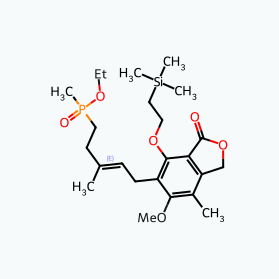 CCOP(C)(=O)CC/C(C)=C/Cc1c(OC)c(C)c2c(c1OCC[Si](C)(C)C)C(=O)OC2